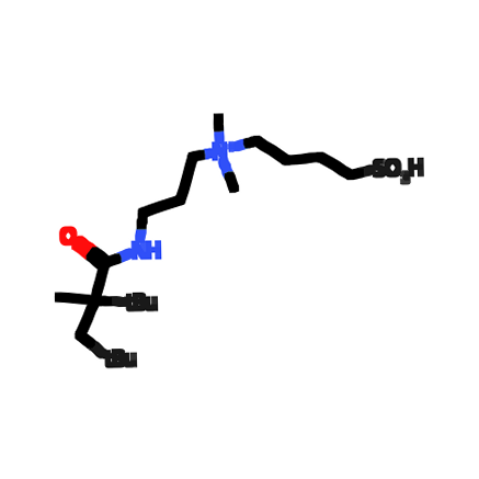 CC(C)(C)CC(C)(C(=O)NCCC[N+](C)(C)CCCCS(=O)(=O)O)C(C)(C)C